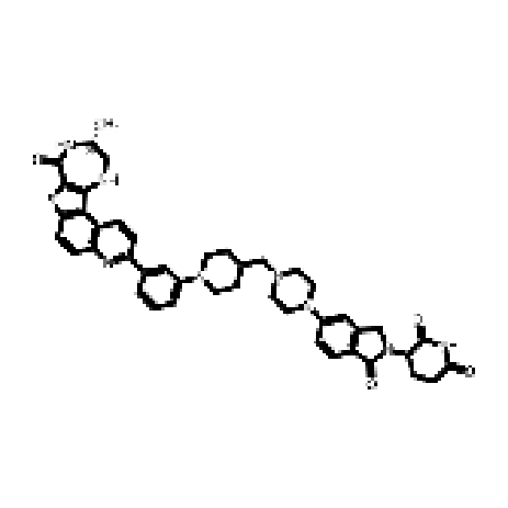 C[C@@H]1CNc2c(sc3ccc4nc(-c5cccc(N6CCC(CN7CCN(c8ccc9c(c8)CN(C8CCC(=O)NC8=O)C9=O)CC7)CC6)c5)ccc4c23)C(=O)N1